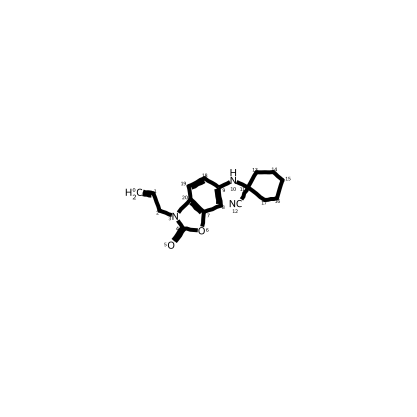 C=CCn1c(=O)oc2cc(NC3(C#N)CCCCC3)ccc21